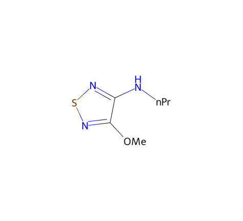 CCCNc1nsnc1OC